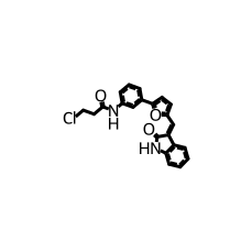 O=C(CCCl)Nc1cccc(-c2ccc(C=C3C(=O)Nc4ccccc43)o2)c1